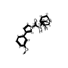 COc1cccc(-c2ccn(C(=O)N[C@H]3CN4CCC3CC4)c2)c1